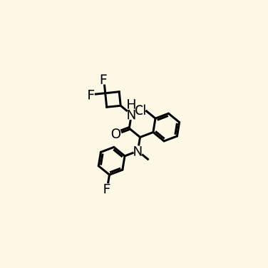 CN(c1cccc(F)c1)C(C(=O)NC1CC(F)(F)C1)c1ccccc1Cl